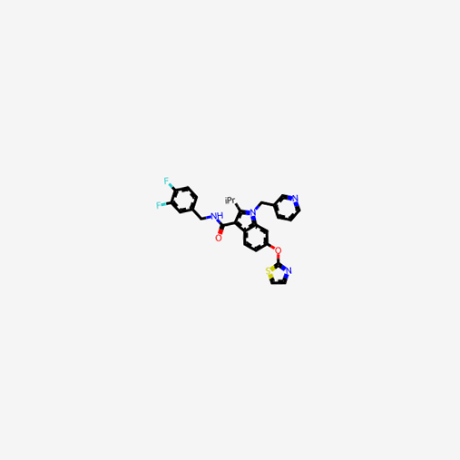 CC(C)c1c(C(=O)NCc2ccc(F)c(F)c2)c2ccc(Oc3nccs3)cc2n1Cc1cccnc1